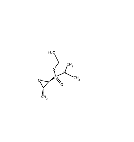 CCSP(=O)([C@@H]1O[C@@H]1C)N(C)C